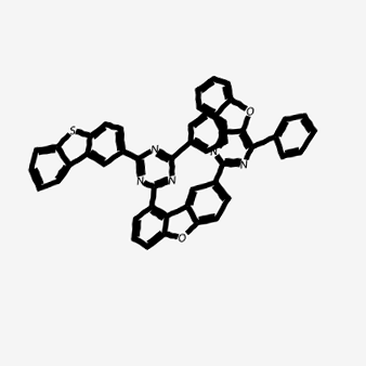 c1ccc(-c2nc(-c3ccc4sc5ccccc5c4c3)nc(-c3cccc4oc5ccc(-c6nc(-c7ccccc7)c7oc8ccccc8c7n6)cc5c34)n2)cc1